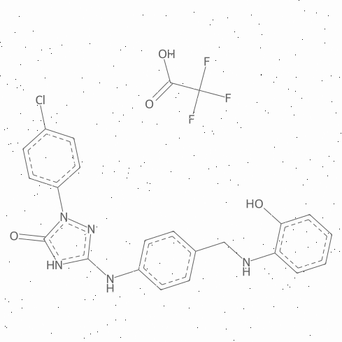 O=C(O)C(F)(F)F.O=c1[nH]c(Nc2ccc(CNc3ccccc3O)cc2)nn1-c1ccc(Cl)cc1